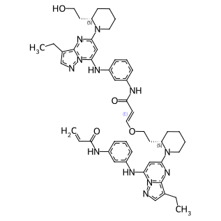 C=CC(=O)Nc1cccc(Nc2cc(N3CCCC[C@H]3CCO/C=C/C(=O)Nc3cccc(Nc4cc(N5CCCC[C@H]5CCO)nc5c(CC)cnn45)c3)nc3c(CC)cnn23)c1